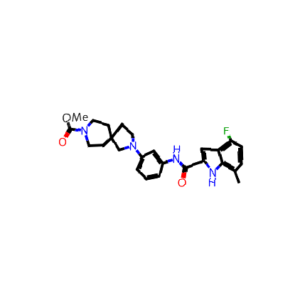 COC(=O)N1CCC2(CC1)CCN(c1cccc(NC(=O)c3cc4c(F)ccc(C)c4[nH]3)c1)C2